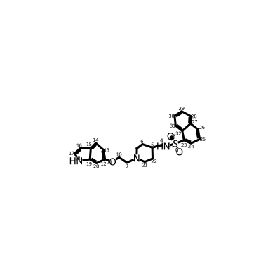 O=S(=O)(NCC1CCN(CCOc2ccc3cc[nH]c3c2)CC1)c1cccc2ccccc12